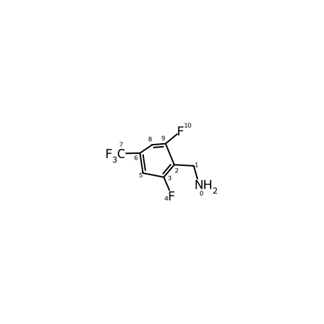 NCc1c(F)cc(C(F)(F)F)cc1F